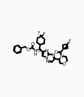 O=C(N[C@H](c1cn2ncc(C3COCCN3C(=O)C34CC(F)(C3)C4)nc2n1)C1CCC(F)(F)CC1)OCc1ccccc1